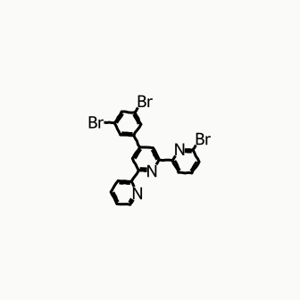 Brc1cc(Br)cc(-c2cc(-c3ccccn3)nc(-c3cccc(Br)n3)c2)c1